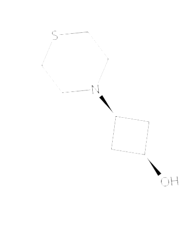 O[C@H]1C[C@@H](N2CCSCC2)C1